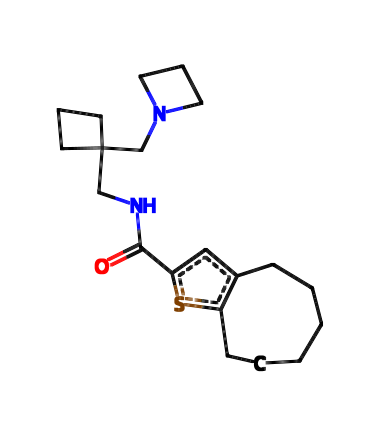 O=C(NCC1(CN2CCC2)CCC1)c1cc2c(s1)CCCCCC2